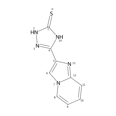 S=c1[nH]nc(-c2cn3ccccc3n2)[nH]1